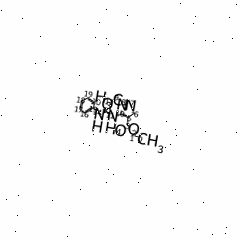 CCOC(=O)c1cnn(C)c1NC(=O)Nc1ccccc1